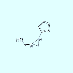 OC[C@@H]1C[C@H]1c1cccs1